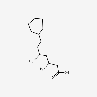 CC(CCC1CCCCC1)CC(N)CC(=O)O